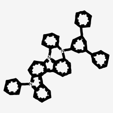 c1ccc(-c2cc(-c3ccccc3)cc(N3c4ccccc4-n4c5ccc6c(c7ccccc7n6-c6ccccc6)c5c5cccc3c54)c2)cc1